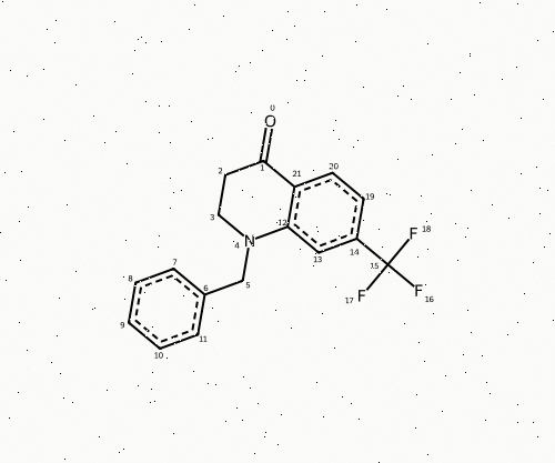 O=C1CCN(Cc2ccccc2)c2cc(C(F)(F)F)ccc21